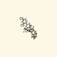 CCS(=O)(=O)c1cc(-c2ccc(Cl)cc2Cl)cnc1-c1nc2cc(C(F)(F)F)ncc2n1C